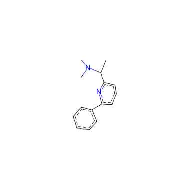 CC(c1cccc(-c2ccccc2)n1)N(C)C